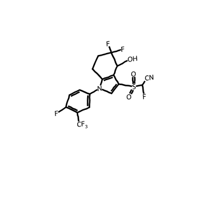 N#CC(F)S(=O)(=O)c1cn(-c2ccc(F)c(C(F)(F)F)c2)c2c1C(O)C(F)(F)CC2